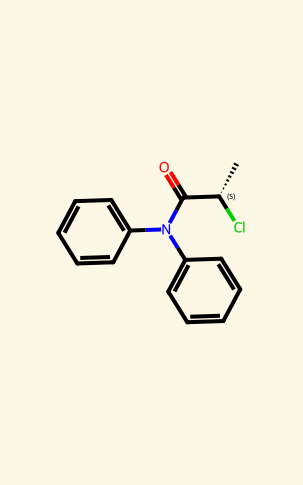 C[C@H](Cl)C(=O)N(c1ccccc1)c1ccccc1